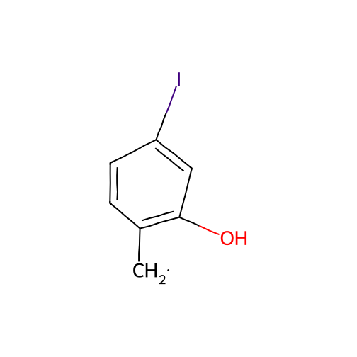 [CH2]c1ccc(I)cc1O